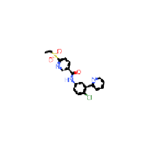 CCS(=O)(=O)c1ccc(C(=O)Nc2ccc(Cl)c(-c3ccccn3)c2)cn1